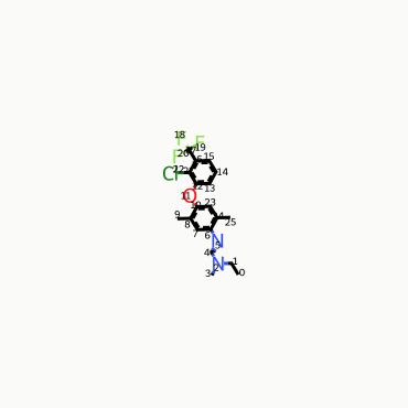 CCN(C)C=Nc1cc(C)c(Oc2cccc(C(F)(F)F)c2Cl)cc1C